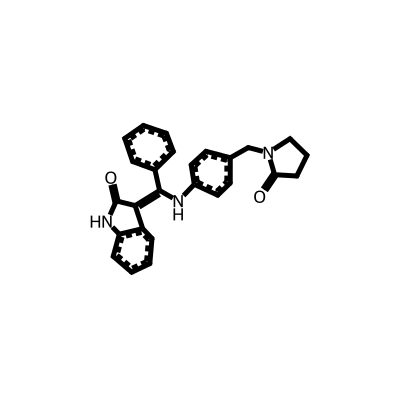 O=C1Nc2ccccc2C1=C(Nc1ccc(CN2CCCC2=O)cc1)c1ccccc1